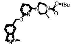 C[C@H]1CN(c2cccc(OCc3ccc4cnn(C)c4c3)n2)CCN1C(=O)OC(C)(C)C